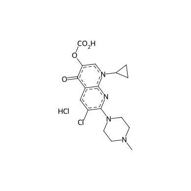 CN1CCN(c2nc3c(cc2Cl)c(=O)c(OC(=O)O)cn3C2CC2)CC1.Cl